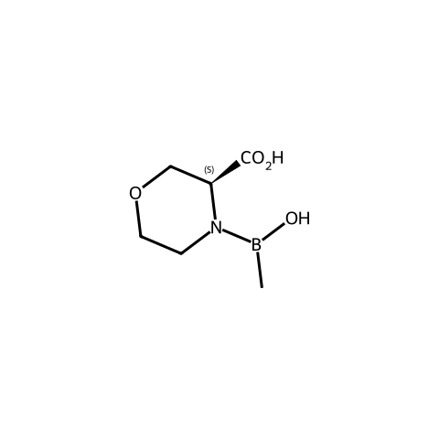 CB(O)N1CCOC[C@H]1C(=O)O